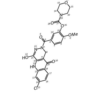 COc1ccc(C(=O)N2Cc3c([nH]c4cc(Cl)ccc4c3=O)C(O)=N2)cc1OC(=O)N1CCOCC1